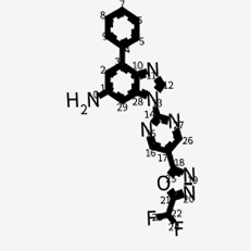 Nc1cc(-c2ccccc2)c2ncn(-c3ncc(-c4nnc(C(F)F)o4)cn3)c2c1